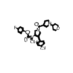 CN(C(=O)Oc1ccc(F)cc1)[C@@H]1CN(C(=O)C2CCN(C3CCOCC3)C2)CC1c1ccc(Cl)cc1